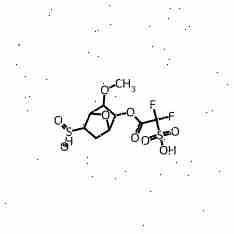 COC1C(OC(=O)C(F)(F)S(=O)(=O)O)C2CC([SH](=O)=O)C1O2